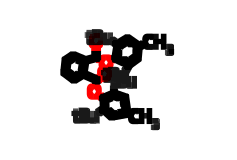 Cc1cc(C(C)(C)C)c(OC(=O)c2ccccc2C(=O)Oc2c(C(C)(C)C)cc(C)cc2C(C)(C)C)c(C(C)(C)C)c1